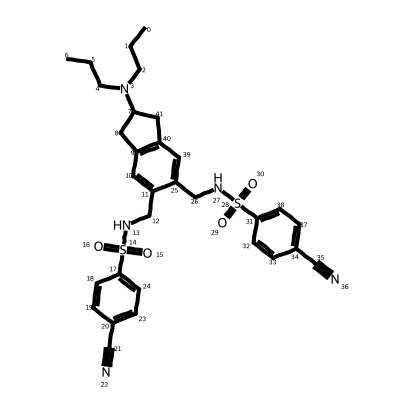 CCCN(CCC)C1Cc2cc(CNS(=O)(=O)c3ccc(C#N)cc3)c(CNS(=O)(=O)c3ccc(C#N)cc3)cc2C1